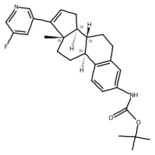 CC(C)(C)OC(=O)Nc1ccc2c(c1)CC[C@@H]1[C@@H]2CC[C@]2(C)C(c3cncc(F)c3)=CC[C@@H]12